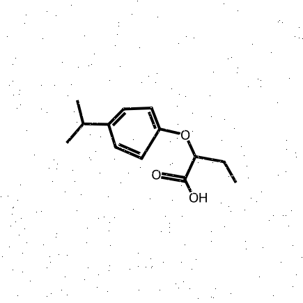 CCC(Oc1ccc(C(C)C)cc1)C(=O)O